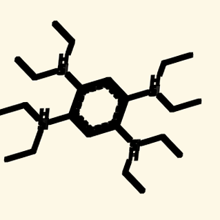 CC[SiH](CC)c1cc([SiH](CC)CC)c([SiH](CC)CC)cc1[SiH](CC)CC